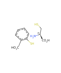 N[C@@H](CS)C(=O)O.O=C(O)c1ccccc1S